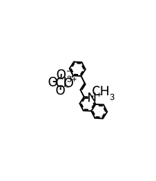 C[n+]1c(C=Cc2ccccc2O[Cl+3]([O-])([O-])[O-])ccc2ccccc21